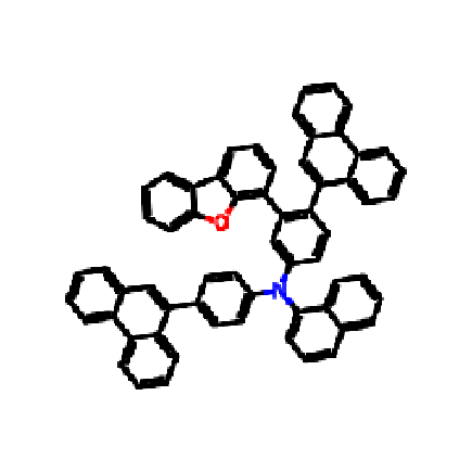 c1ccc2c(N(c3ccc(-c4cc5ccccc5c5ccccc45)cc3)c3ccc(-c4cc5ccccc5c5ccccc45)c(-c4cccc5c4oc4ccccc45)c3)cccc2c1